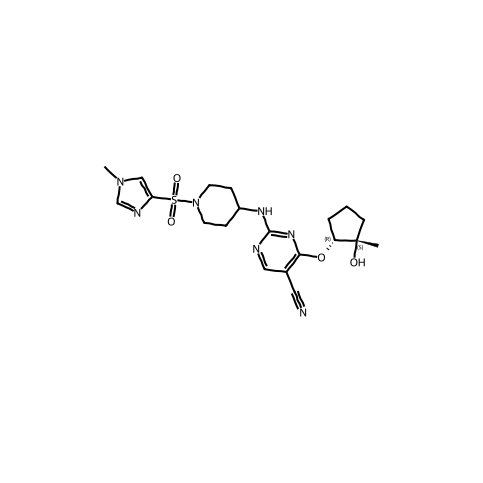 Cn1cnc(S(=O)(=O)N2CCC(Nc3ncc(C#N)c(O[C@@H]4CCC[C@]4(C)O)n3)CC2)c1